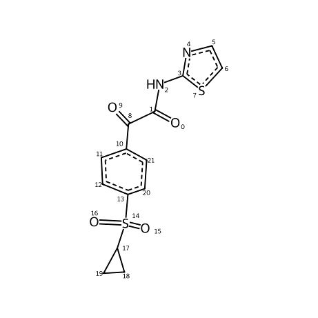 O=C(Nc1nccs1)C(=O)c1ccc(S(=O)(=O)C2CC2)cc1